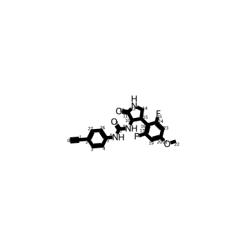 C#Cc1ccc(NC(=O)NC2C(=O)NCC2c2c(F)cc(OC)cc2F)cc1